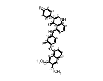 COc1cc2nccc(Oc3ccc(Nc4nccc5[nH]cc(-c6ccc(F)cc6)c(=O)c45)cc3F)c2cc1OC